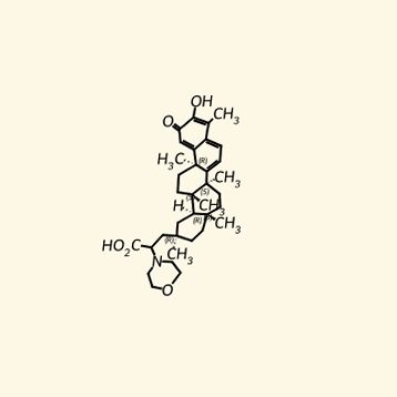 CC1=C(O)C(=O)C=C2C1=CC=C1[C@@]2(C)CC[C@@]2(C)[C@@H]3C[C@](C)(CC(C(=O)O)N4CCOCC4)CC[C@@]3(C)CC[C@]12C